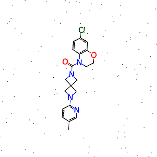 Cc1ccc(N2CC3(CN(C(=O)N4CCOc5cc(Cl)ccc54)C3)C2)nc1